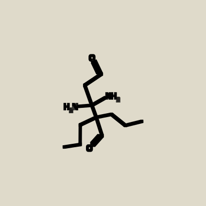 CCCC(C=O)(CCC)C(N)(N)CC=O